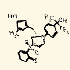 Cc1cccc(C[C@H]2CN(S(=O)(=O)C3=CC=CCC3=S)CCN2c2ccc(C(O)(C(F)(F)F)C(F)(F)F)cc2)c1.Cl